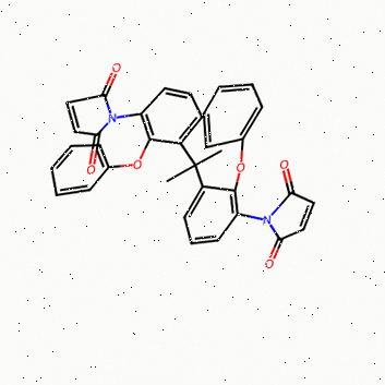 CC(C)(c1cccc(N2C(=O)C=CC2=O)c1Oc1ccccc1)c1cccc(N2C(=O)C=CC2=O)c1Oc1ccccc1